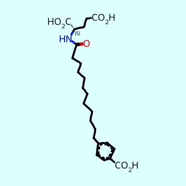 O=C(O)CC[C@H](NC(=O)CCCCCCCCCCCc1ccc(C(=O)O)cc1)C(=O)O